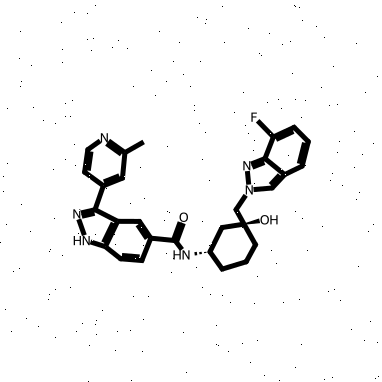 Cc1cc(-c2n[nH]c3ccc(C(=O)N[C@H]4CCC[C@@](O)(Cn5cc6cccc(F)c6n5)C4)cc23)ccn1